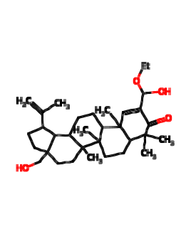 C=C(C)C1CCC2(CO)CCC3(C)C(CCC4C5(C)C=C(C(O)OCC)C(=O)C(C)(C)C5CCC43C)C12